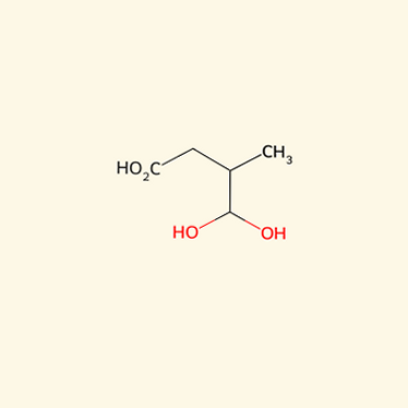 CC(CC(=O)O)C(O)O